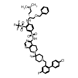 [2H]C1(N2CCc3c(ncnc3NS(=O)(=O)c3ccc(N[C@H](CCN(C)C)COCc4ccccc4)c(S(=O)(=O)C(F)(F)F)c3)C2)CCN(Cc2cc(F)ccc2-c2ccc(Cl)cc2)CC1